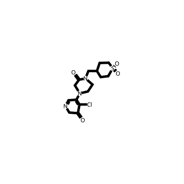 O=C1CN=CC(N2CCN(CC3CCS(=O)(=O)CC3)C(=O)C2)=C1Cl